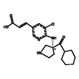 O=C(O)C=Cc1cnc(N[C@]2(C(=O)C3CCCCC3)CCNC2)c(Cl)c1